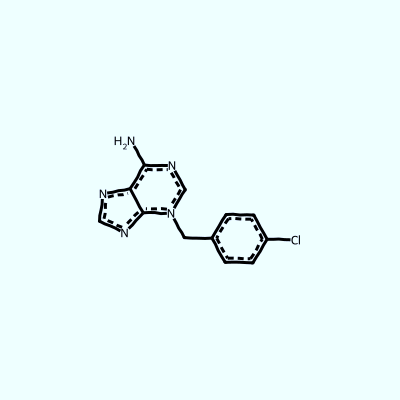 Nc1ncn(Cc2ccc(Cl)cc2)c2ncnc1-2